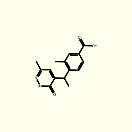 Cc1cc(C(C)c2ccc(C(=O)O)cc2C)c(=O)[nH]n1